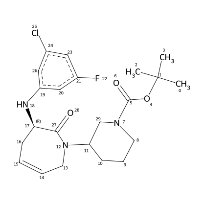 CC(C)(C)OC(=O)N1CCCC(N2CC=CC[C@@H](Nc3cc(F)cc(Cl)c3)C2=O)C1